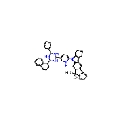 CC1(C)c2ccccc2-c2cc3c4ccccc4n(C4=CC=C(C5NC(c6ccccc6)NC(c6cccc7ccccc67)N5)CN4)c3cc21